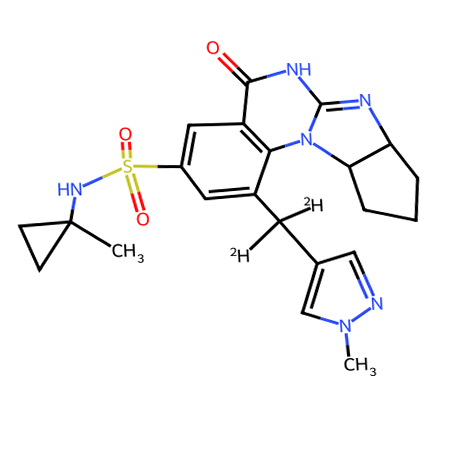 [2H]C([2H])(c1cnn(C)c1)c1cc(S(=O)(=O)NC2(C)CC2)cc2c1N1C(=NC3CCCC31)NC2=O